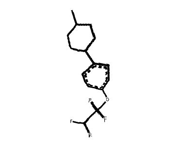 CC1CCC(c2ccc(OC(F)(F)C(F)F)cc2)CC1